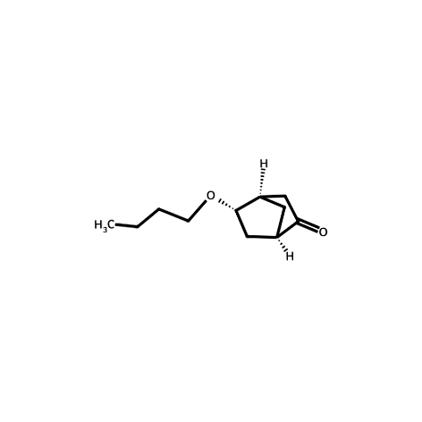 CCCCO[C@H]1C[C@H]2C[C@@H]1CC2=O